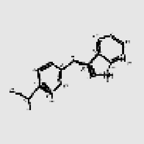 CC(C)c1ccc(Cc2c[nH]c3ncccc23)cn1